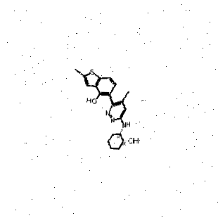 Cc1cc2c(O)c(-c3nnc(N[C@H]4CCCC[C@H]4O)cc3C)ccc2s1